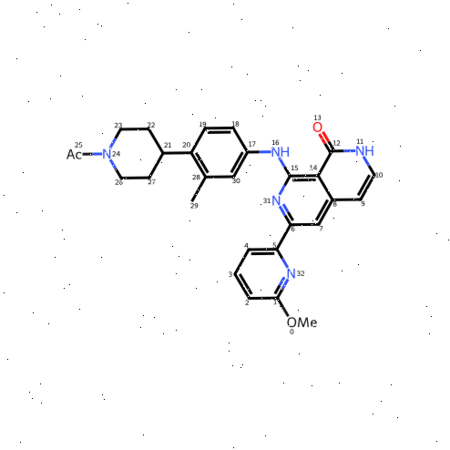 COc1cccc(-c2cc3cc[nH]c(=O)c3c(Nc3ccc(C4CCN(C(C)=O)CC4)c(C)c3)n2)n1